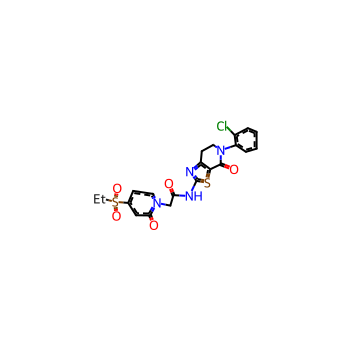 CCS(=O)(=O)c1ccn(CC(=O)Nc2nc3c(s2)C(=O)N(c2ccccc2Cl)CC3)c(=O)c1